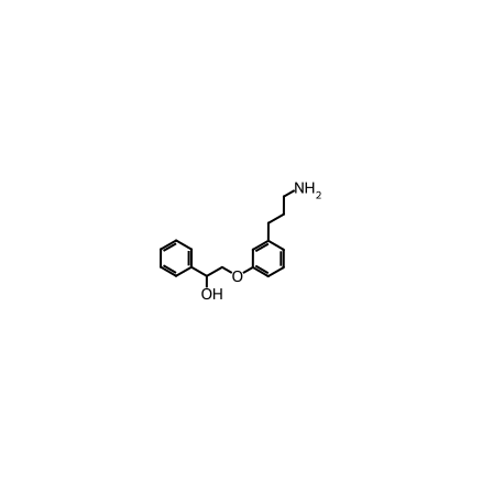 NCCCc1cccc(OCC(O)c2ccccc2)c1